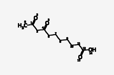 CC(=O)CC(=O)CCCCCCC(=O)O